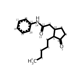 CCCCCC1C(=O)CCC1CC(=O)Nc1ccccc1